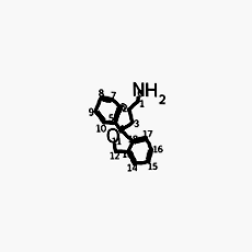 NCCCC1(c2ccccc2)OCc2ccccc21